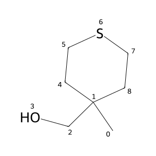 CC1(CO)CCSCC1